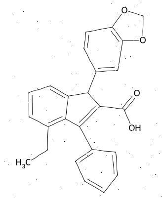 CCc1cccc2c1C(c1ccccc1)=C(C(=O)O)C2c1ccc2c(c1)OCO2